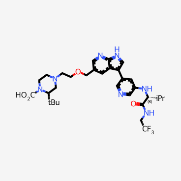 CC(C)[C@@H](Nc1cncc(-c2c[nH]c3ncc(COCCN4CCN(C(=O)O)C(C(C)(C)C)C4)cc23)c1)C(=O)NCC(F)(F)F